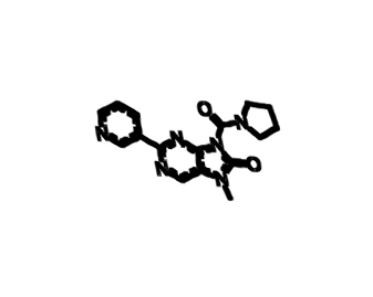 Cn1c(=O)n(C(=O)N2CCCC2)c2nc(-c3cccnc3)ncc21